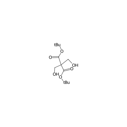 CC(C)(C)OC(=O)C(CO)(CO)C(=O)OC(C)(C)C